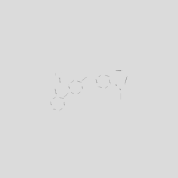 O=C1C=c2ccccc2=c2ccc3c(c21)CCCC=3c1ccc2c(c1)C=CC=CN2